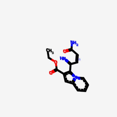 CCOC(=O)c1cc2ccccn2c1C(=N)/C=C\C(N)=O